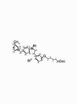 CCCCCCCCCCCCCCOc1cccc(CCN(C(C)=O)c2ccc(C[n+]3csc(C)c3)cc2)c1.[Br-]